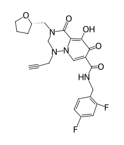 C#CCN1CN(C[C@@H]2CCCO2)C(=O)c2c(O)c(=O)c(C(=O)NCc3ccc(F)cc3F)cn21